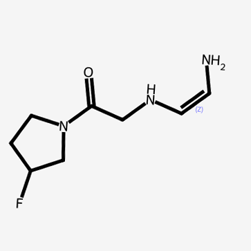 N/C=C\NCC(=O)N1CCC(F)C1